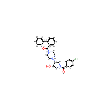 O=C(c1ccc(Cl)cc1)N1C[C@H](O)[C@@H](N2CCN(C(=O)c3ccccc3-c3ccccc3)CC2)C1